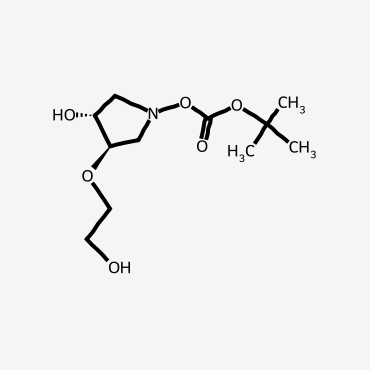 CC(C)(C)OC(=O)ON1C[C@@H](O)[C@H](OCCO)C1